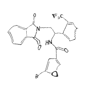 O=C(NC(CN1C(=O)c2ccccc2C1=O)c1ccccc1C(F)(F)F)c1coc(Br)c1